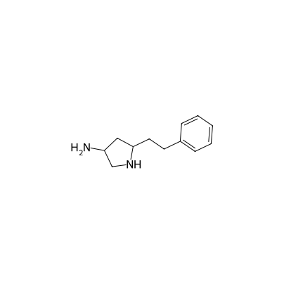 NC1CNC(CCc2ccccc2)C1